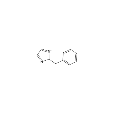 C1=NC(Cc2ccccc2)=[N+]=C1